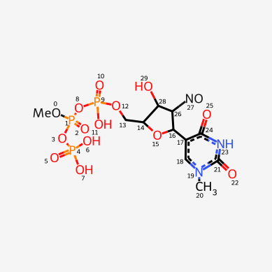 COP(=O)(OP(=O)(O)O)OP(=O)(O)OCC1OC(c2cn(C)c(=O)[nH]c2=O)C(N=O)C1O